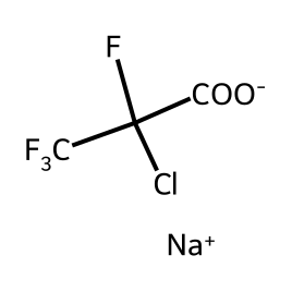 O=C([O-])C(F)(Cl)C(F)(F)F.[Na+]